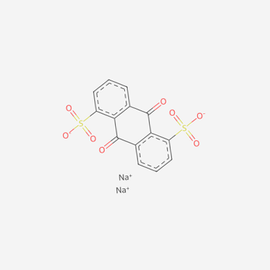 O=C1c2cccc(S(=O)(=O)[O-])c2C(=O)c2cccc(S(=O)(=O)[O-])c21.[Na+].[Na+]